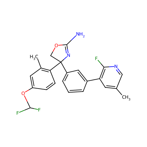 Cc1cnc(F)c(-c2cccc(C3(c4ccc(OC(F)F)cc4C)COC(N)=N3)c2)c1